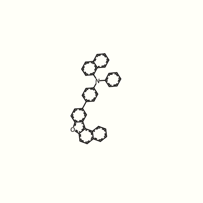 c1ccc(N(c2ccc(-c3ccc4oc5ccc6ccccc6c5c4c3)cc2)c2cccc3ccccc23)cc1